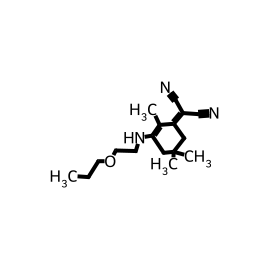 CCCOCCNC1=C(C)C(=C(C#N)C#N)CC(C)(C)C1